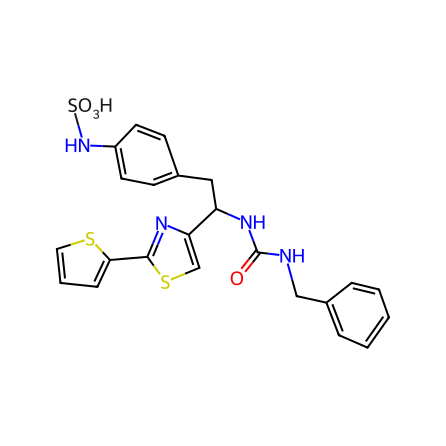 O=C(NCc1ccccc1)NC(Cc1ccc(NS(=O)(=O)O)cc1)c1csc(-c2cccs2)n1